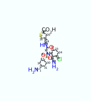 NCc1ccc(S(=O)(=O)N(CC(=O)NCc2csc(C(=O)O)c2)c2cccc(Cl)c2CN)cc1